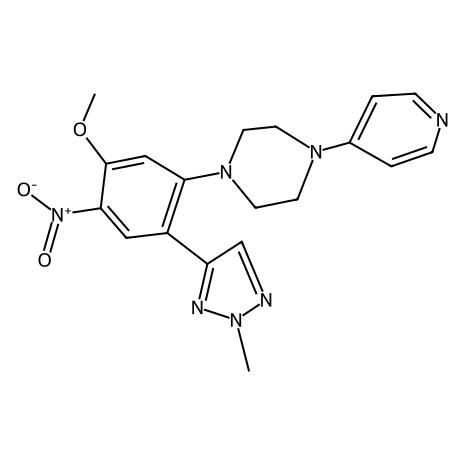 COc1cc(N2CCN(c3ccncc3)CC2)c(-c2cnn(C)n2)cc1[N+](=O)[O-]